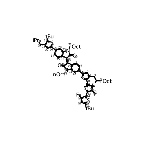 CCCCCCCCC(C)Cc1cc(-c2ccc3c(c2)N(CCCCCCCC)C(=O)/C3=C2/C(=O)N(CCCCCCCC)c3cc(-c4cc(CC(C)C)c(C(C)(C)C)s4)ccc32)sc1-c1cc(F)c(-c2sc(C(C)(C)C)cc2F)s1